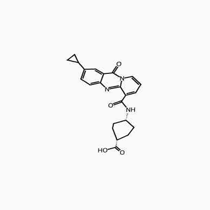 O=C(N[C@H]1CC[C@@H](C(=O)O)CC1)c1cccn2c(=O)c3cc(C4CC4)ccc3nc12